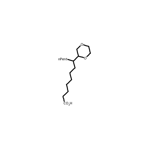 CCCCCC(CCCCCCC(=O)O)C1COCCO1